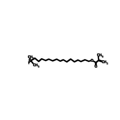 C=C(C)C(=O)OCCCCCCCCCCCCCCCC[Si](C)(C)I